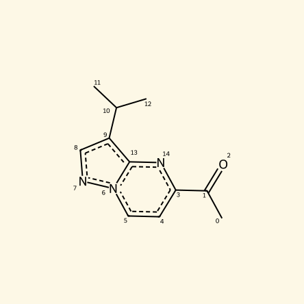 CC(=O)c1ccn2ncc(C(C)C)c2n1